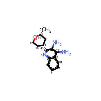 C[C@@H]1C[C@H](c2nc3ccccc3c(N)c2N)CCO1